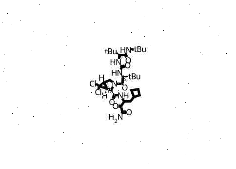 CC(C)(C)NC(=O)[C@@H](NC(=O)N[C@H](C(=O)N1C[C@H]2[C@@H]([C@H]1C(=O)NC(CC1CCC1)C(=O)C(N)=O)C2(Cl)Cl)C(C)(C)C)C(C)(C)C